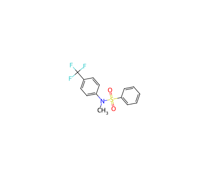 CN(c1ccc(C(F)(F)F)cc1)S(=O)(=O)c1ccccc1